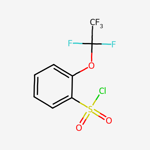 O=S(=O)(Cl)c1ccccc1OC(F)(F)C(F)(F)F